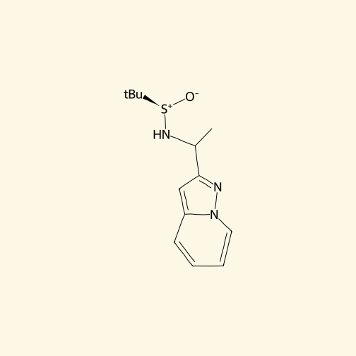 CC(N[S@+]([O-])C(C)(C)C)c1cc2ccccn2n1